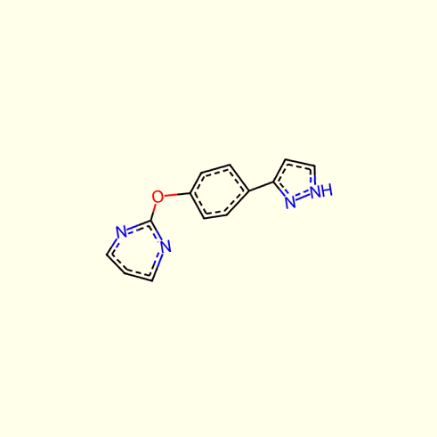 c1cnc(Oc2ccc(-c3cc[nH]n3)cc2)nc1